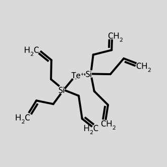 C=CC[Si](CC=C)(CC=C)[Te+][Si](CC=C)(CC=C)CC=C